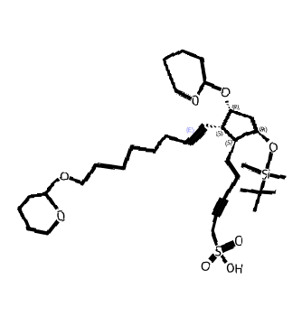 CC(C)(C)[Si](C)(C)O[C@@H]1C[C@@H](OC2CCCCO2)[C@@H](/C=C/CCCCCCOC2CCCCO2)[C@@H]1CCC#CCS(=O)(=O)O